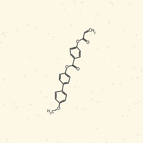 C=CC(=O)Oc1ccc(C(=O)Oc2ccc(-c3ccc(OC)cc3)cc2)cc1